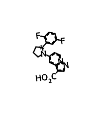 O=C(O)c1cnn2ccc(N3CCC[C@H]3c3cc(F)ccc3F)cc12